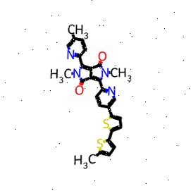 Cc1ccc(C2=C3C(=O)N(C)C(c4ccc(-c5ccc(-c6ccc(C)s6)s5)cn4)=C3C(=O)N2C)nc1